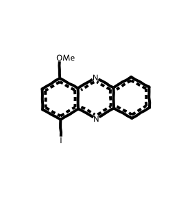 COc1ccc(I)c2nc3ccccc3nc12